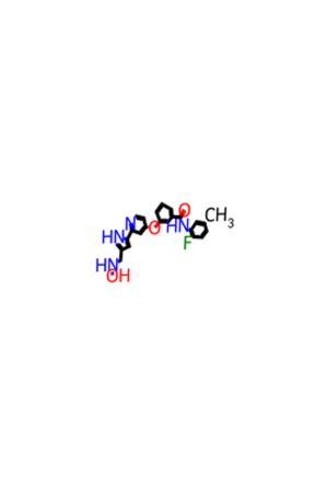 Cc1ccc(F)c(NC(=O)c2cccc(Oc3ccnc(-c4cc(CNO)c[nH]4)c3)c2)c1